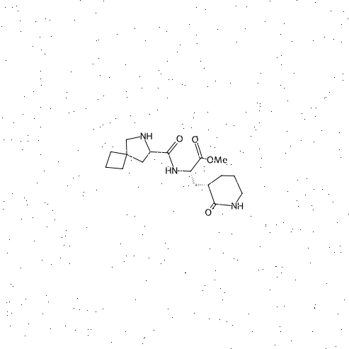 COC(=O)[C@H](C[C@@H]1CCCNC1=O)NC(=O)C1CC2(CCC2)CN1